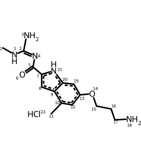 CNC(N)=NC(=O)c1cc2c(C)cc(OCCCN)cc2[nH]1.Cl